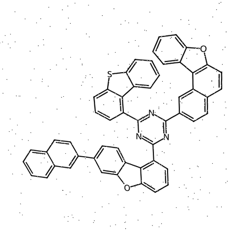 c1ccc2cc(-c3ccc4c(c3)oc3cccc(-c5nc(-c6ccc7ccc8oc9ccccc9c8c7c6)nc(-c6cccc7sc8ccccc8c67)n5)c34)ccc2c1